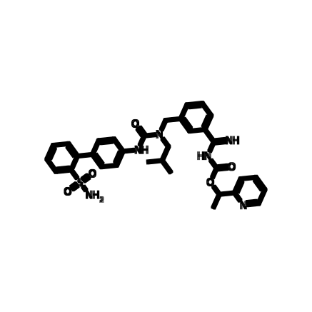 CC(C)CN(Cc1cccc(C(=N)NC(=O)OC(C)c2ccccn2)c1)C(=O)Nc1ccc(-c2ccccc2S(N)(=O)=O)cc1